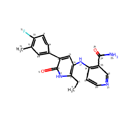 CCc1[nH]c(=O)c(-c2ccc(F)c(C)c2)cc1Nc1ccncc1C(N)=O